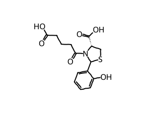 O=C(O)CCCC(=O)N1C(c2ccccc2O)SC[C@H]1C(=O)O